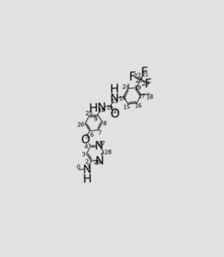 CNc1cc(Oc2ccc(NC(=O)Nc3ccc(C)c(C(F)(F)F)c3)cc2)ncn1